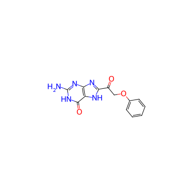 Nc1nc2nc(C(=O)COc3ccccc3)[nH]c2c(=O)[nH]1